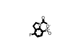 CC(=O)N1CCc2c(F)ccc([N+](=O)[O-])c21